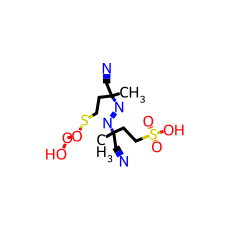 CC(C#N)(CCSOOO)N=NC(C)(C#N)CCS(=O)(=O)O